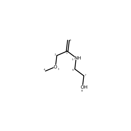 C=C(COC)NCCO